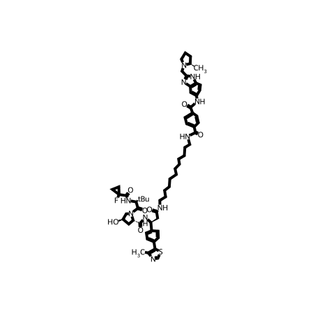 Cc1ncsc1-c1ccc([C@H](CC(=O)NCCCCCCCCCCCCNC(=O)c2ccc(C(=O)Nc3ccc4[nH]c(CN5CCC[C@@H]5C)nc4c3)cc2)NC(=O)[C@@H]2C[C@@H](O)CN2C(=O)[C@@H](NC(=O)C2(F)CC2)C(C)(C)C)cc1